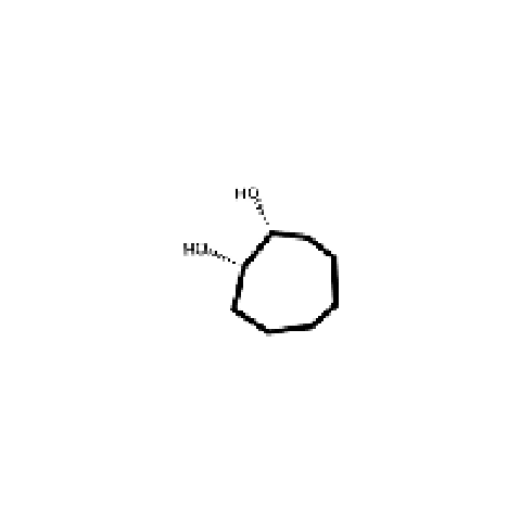 O[C@@H]1CCCCCC[C@@H]1O